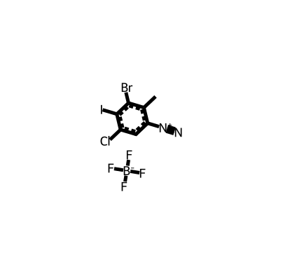 Cc1c([N+]#N)cc(Cl)c(I)c1Br.F[B-](F)(F)F